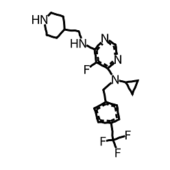 Fc1c(NCC2CCNCC2)ncnc1N(Cc1ccc(C(F)(F)F)cc1)C1CC1